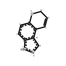 C1=Cc2c(ccc3[nH]ncc23)OC1